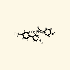 C=CC(c1ccc([N+](=O)[O-])cc1)S(=O)(=O)N1CC1c1ccc(Cl)cc1